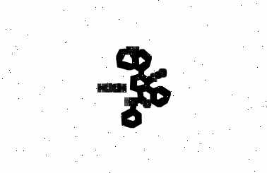 Cl.Cl.O=C=C1C(c2ccccc2)=C(C(=O)Nc2ccccc2)C=CC1c1cccc2c1C=CC=CN2